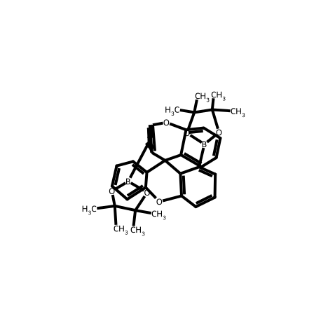 CC1(C)OB(c2cccc3c2C2(c4ccccc4O3)c3ccccc3Oc3cccc(B4OC(C)(C)C(C)(C)O4)c32)OC1(C)C